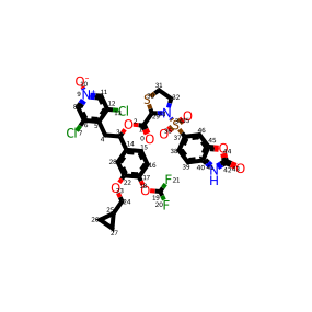 O=C(OC(Cc1c(Cl)c[n+]([O-])cc1Cl)c1ccc(OC(F)F)c(OCC2CC2)c1)C1SCCN1S(=O)(=O)c1ccc2[nH]c(=O)oc2c1